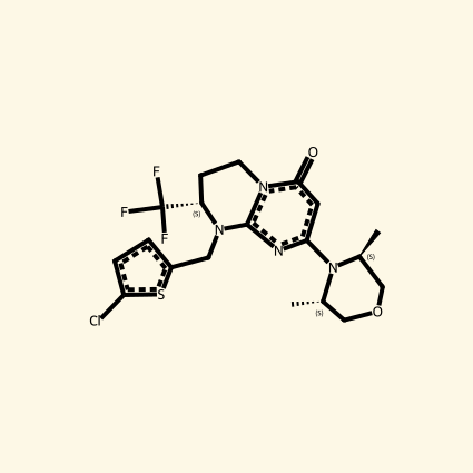 C[C@H]1COC[C@H](C)N1c1cc(=O)n2c(n1)N(Cc1ccc(Cl)s1)[C@H](C(F)(F)F)CC2